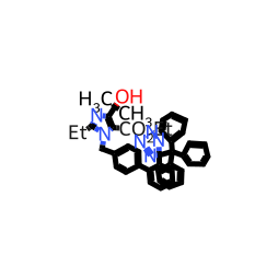 CCOC(=O)c1c(C(C)(C)O)nc(CC)n1Cc1ccc(-c2ccccc2C2(C(c3ccccc3)(c3ccccc3)c3ccccc3)N=NN=N2)cc1